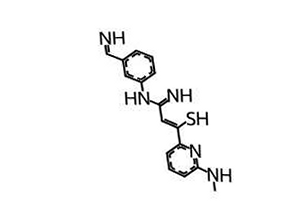 CNc1cccc(/C(S)=C/C(=N)Nc2cccc(C=N)c2)n1